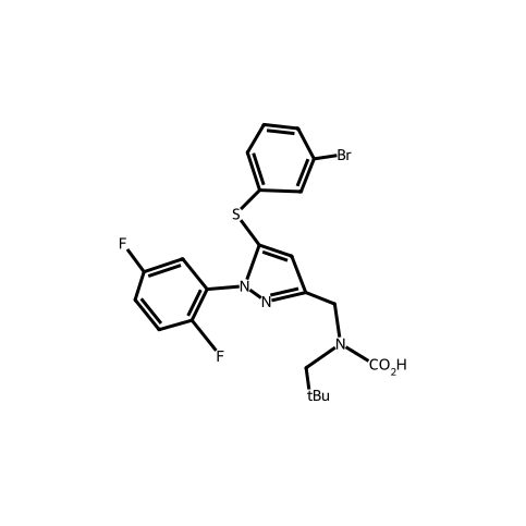 CC(C)(C)CN(Cc1cc(Sc2cccc(Br)c2)n(-c2cc(F)ccc2F)n1)C(=O)O